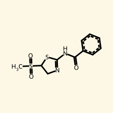 CS(=O)(=O)C1CN=C(NC(=O)c2ccccc2)S1